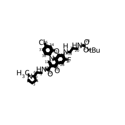 CN1CCCC1CCNC(=O)c1cn2c3c(c(NCCCNC(=O)OC(C)(C)C)c(F)cc3c1=O)Oc1cc(Cl)ccc1-2